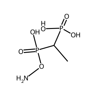 CC(P(=O)(O)O)P(=O)(O)ON